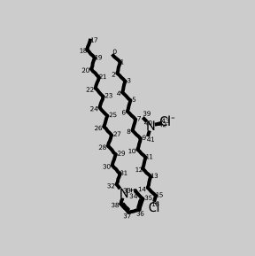 CCCCCCCCCCCCCCCCCl.CCCCCCCCCCCCCCCC[n+]1ccccc1.CN(C)C.[Cl-]